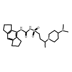 CC(CCS(=O)(=O)NC(=O)Nc1c2c(cc3c1CCC3)CCC2)N1CCC(N(C)C)CC1